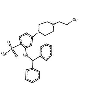 CS(=O)(=O)c1ccc(N2CCN(CCO)CC2)cc1NC(c1ccccc1)c1ccccc1